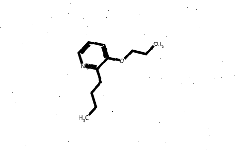 CCCCc1ncccc1OCCC